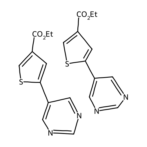 CCOC(=O)c1csc(-c2cncnc2)c1.CCOC(=O)c1csc(-c2cncnc2)c1